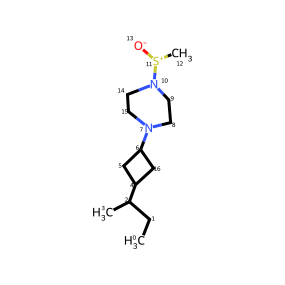 CCC(C)C1CC(N2CCN([S+](C)[O-])CC2)C1